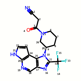 N#CCC(=O)N1CCC[C@@H](n2c(C(F)(F)F)nc3cnc4[nH]ccc4c32)C1